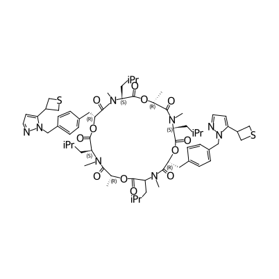 CC(C)CC1C(=O)O[C@H](C)C(=O)N(C)[C@@H](CC(C)C)C(=O)O[C@H](Cc2ccc(Cn3nccc3C3CSC3)cc2)C(=O)N(C)[C@@H](CC(C)C)C(=O)O[C@H](C)C(=O)N(C)[C@@H](CC(C)C)C(=O)O[C@H](Cc2ccc(Cn3nccc3C3CSC3)cc2)C(=O)N1C